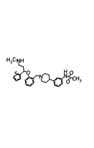 CNCCC(Oc1ccccc1CN1CCC(c2cccc(NS(C)(=O)=O)c2)CC1)c1cccs1